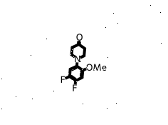 COc1cc(F)c(F)cc1N1CCC(=O)CC1